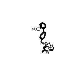 Cc1cc(NCc2ccc(-c3ccccc3C#N)cc2)n2nccc2n1